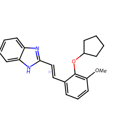 COc1cccc(/C=C/c2nc3ccccc3[nH]2)c1OC1CCCC1